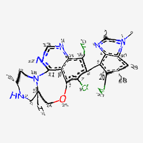 Cn1cnc2c(-c3c(Cl)c4c5c(ncnc5c3F)N3CCNC[C@H]3CO4)c(F)ccc21